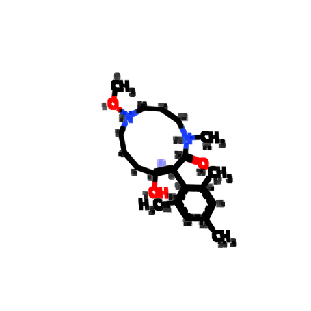 CON1CCC/C(O)=C(/c2c(C)cc(C)cc2C)C(=O)N(C)CCC1